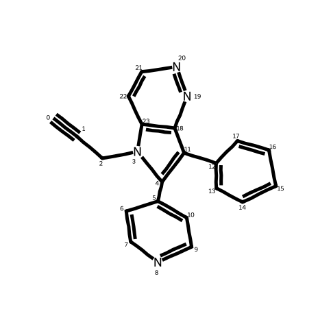 C#CCn1c(-c2ccncc2)c(-c2ccccc2)c2nnccc21